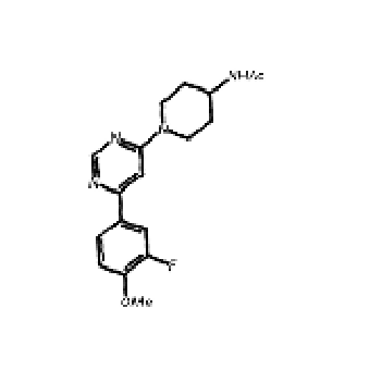 COc1ccc(-c2cc(N3CCC(NC(C)=O)CC3)ncn2)cc1F